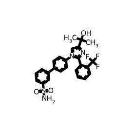 CC(C)(O)c1cn(-c2ccc(-c3cccc(S(N)(=O)=O)c3)cc2)c(-c2ccccc2C(F)(F)F)n1